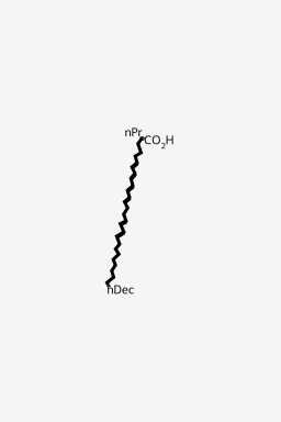 CCCCCCCCCCCCCCCCCCC=CC=CCCC=CC=CC=CC=CCCCC(CCC)C(=O)O